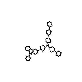 C1=C(c2ccccc2)CCC(N(c2ccc(-c3ccc(-c4ccccc4)cc3)cc2)c2ccc(-c3ccc4c(c3)c3ccccc3n4-c3ccccc3)cc2)=C1